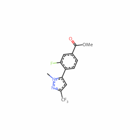 COC(=O)c1ccc(-c2cc(C(F)(F)F)nn2C)c(F)c1